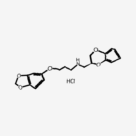 Cl.c1ccc2c(c1)OC[C@H](CNCCCOc1ccc3c(c1)OCO3)O2